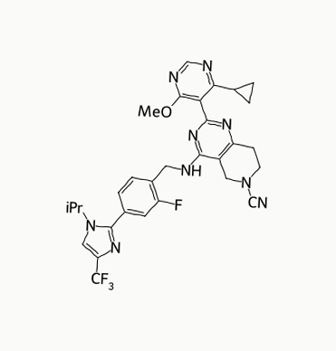 COc1ncnc(C2CC2)c1-c1nc2c(c(NCc3ccc(-c4nc(C(F)(F)F)cn4C(C)C)cc3F)n1)CN(C#N)CC2